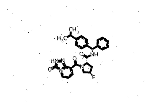 CC(C)c1ccc([C@@H](NC(=O)[C@@H]2C[C@@H](F)CN2C(=O)c2cccn3c(=O)[nH]nc23)c2ccccc2)cc1